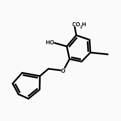 Cc1cc(OCc2ccccc2)c(O)c(C(=O)O)c1